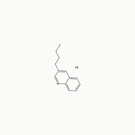 I.ICCCc1cnc2ccccc2c1